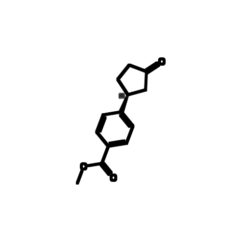 COC(=O)c1ccc([C@H]2CCC(=O)C2)cc1